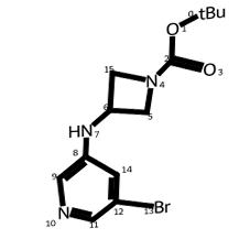 CC(C)(C)OC(=O)N1CC(Nc2cncc(Br)c2)C1